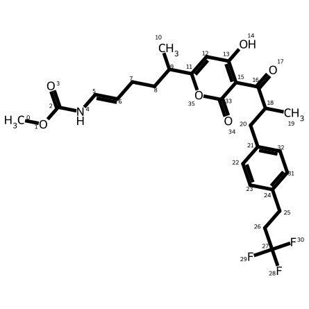 COC(=O)N/C=C/CCC(C)c1cc(O)c(C(=O)C(C)Cc2ccc(CCC(F)(F)F)cc2)c(=O)o1